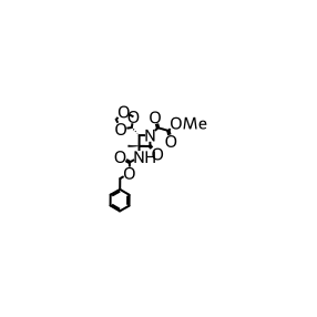 COC(=O)C(=O)N1C(=O)[C@](C)(NC(=O)OCc2ccccc2)[C@@H]1C1OCOO1